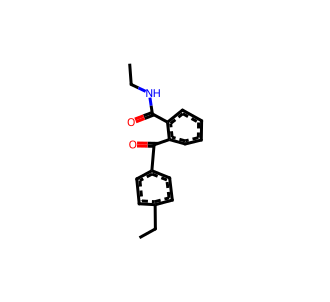 CCNC(=O)c1ccccc1C(=O)c1ccc(CC)cc1